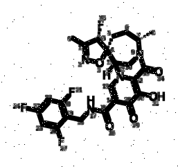 CC1=NO[C@@]2(CC[C@H](C)N3C[C@@H]2n2cc(C(=O)NCc4c(F)cc(F)cc4F)c(=O)c(O)c2C3=O)[C@H]1F